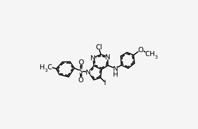 COc1ccc(Nc2nc(Cl)nc3c2c(I)cn3S(=O)(=O)c2ccc(C)cc2)cc1